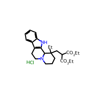 CCOC(=O)C(CC1(CC)CCCN2CCc3c([nH]c4ccccc34)C21)C(=O)OCC.Cl